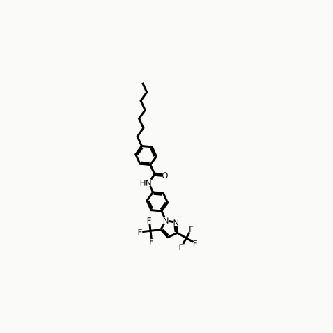 CCCCCCCc1ccc(C(=O)Nc2ccc(-n3nc(C(F)(F)F)cc3C(F)(F)F)cc2)cc1